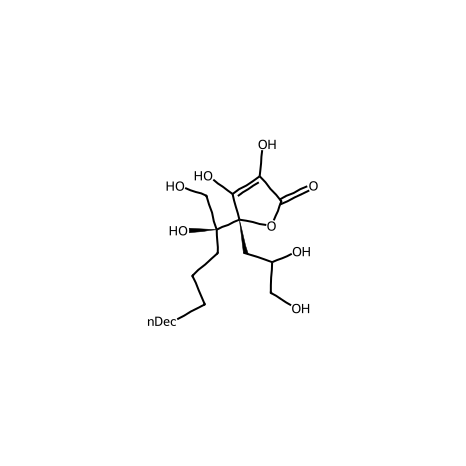 CCCCCCCCCCCCC[C@](O)(CO)[C@@]1(CC(O)CO)OC(=O)C(O)=C1O